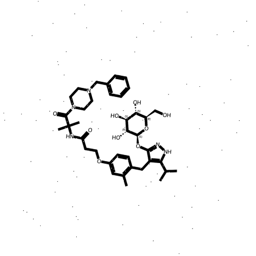 Cc1cc(OCCC(=O)NC(C)(C)C(=O)N2CCN(Cc3ccccc3)CC2)ccc1Cc1c(O[C@@H]2O[C@H](CO)[C@@H](O)[C@H](O)[C@H]2O)n[nH]c1C(C)C